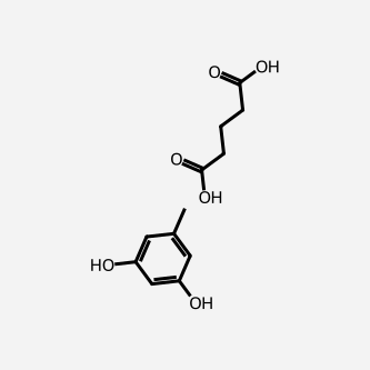 Cc1cc(O)cc(O)c1.O=C(O)CCCC(=O)O